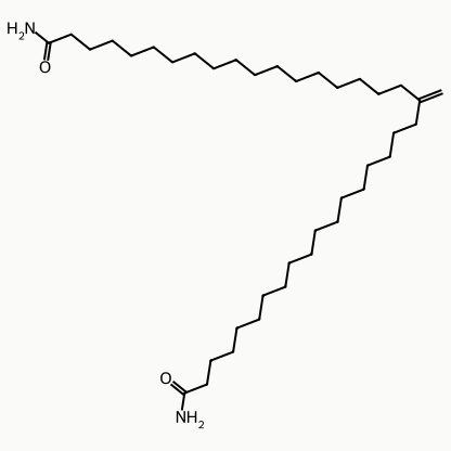 C=C(CCCCCCCCCCCCCCCCCC(N)=O)CCCCCCCCCCCCCCCCCC(N)=O